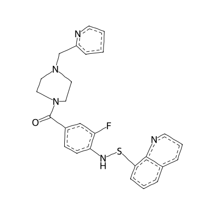 O=C(c1ccc(NSc2cccc3cccnc23)c(F)c1)N1CCN(Cc2ccccn2)CC1